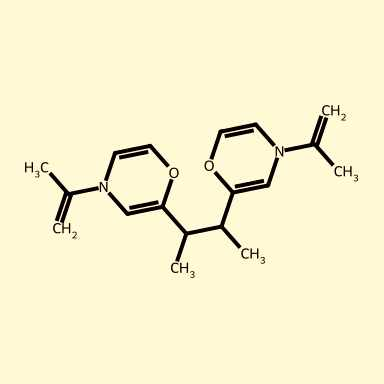 C=C(C)N1C=COC(C(C)C(C)C2=CN(C(=C)C)C=CO2)=C1